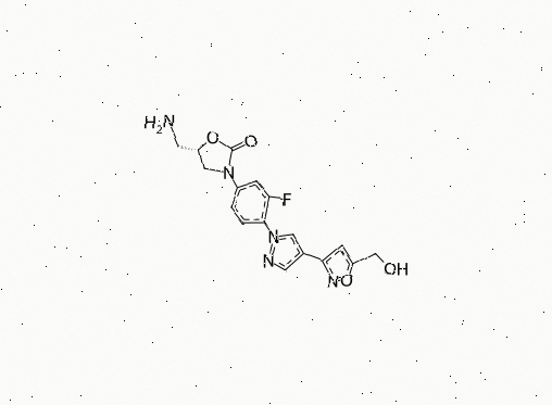 NC[C@H]1CN(c2ccc(-n3cc(-c4cc(CO)on4)cn3)c(F)c2)C(=O)O1